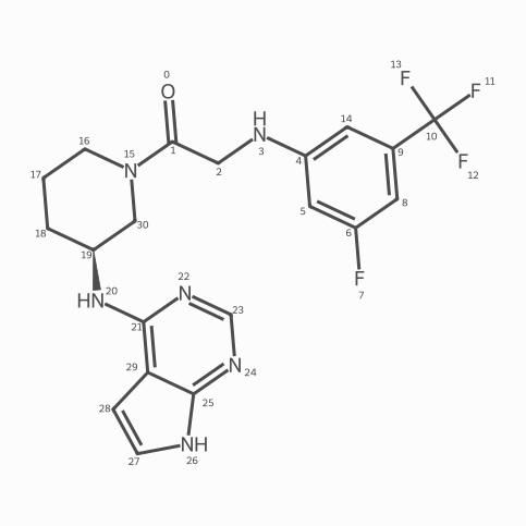 O=C(CNc1cc(F)cc(C(F)(F)F)c1)N1CCC[C@H](Nc2ncnc3[nH]ccc23)C1